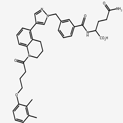 Cc1cccc(OCCCC(=O)N2CCCc3c(-c4cnn(Cc5cccc(C(=O)NC(CCC(N)=O)C(=O)O)c5)c4)cccc32)c1C